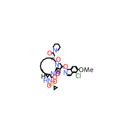 COc1ccc2c(O[C@@H]3C[C@H]4C(=O)NC5(C(=O)NS(=O)(=O)C6CC6)C[C@H]5C=CCCCCC[C@H](CC(=O)N5CCCCC5)C(=O)N4C3)nccc2c1Cl